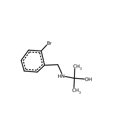 CC(C)(O)NCc1ccccc1Br